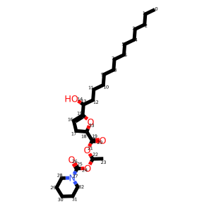 CCCCCCCCCCCCCC(O)C1=CCC(C(=O)OC(C)OC(=O)N2CCCCC2)O1